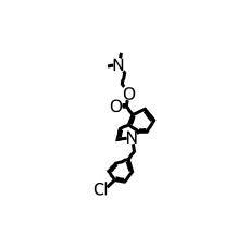 CN(C)CCOC(=O)c1cccc2c1ccn2Cc1ccc(Cl)cc1